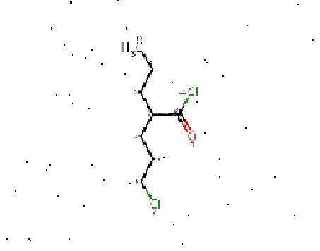 CCCC(CCCCl)C(=O)Cl